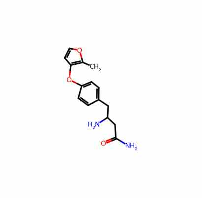 Cc1occc1Oc1ccc(CC(N)CC(N)=O)cc1